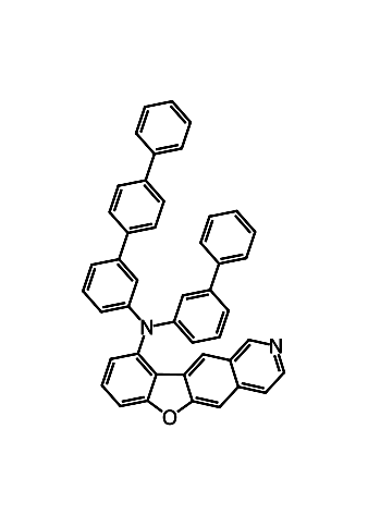 c1ccc(-c2ccc(-c3cccc(N(c4cccc(-c5ccccc5)c4)c4cccc5oc6cc7ccncc7cc6c45)c3)cc2)cc1